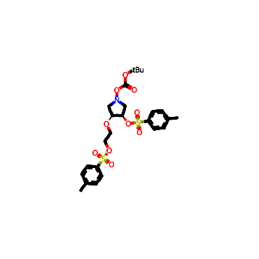 Cc1ccc(S(=O)(=O)OCCO[C@@H]2CN(OC(=O)OC(C)(C)C)C[C@H]2OS(=O)(=O)c2ccc(C)cc2)cc1